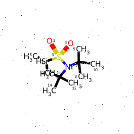 C[SiH](C)S(=O)(=O)N(C(C)(C)C)C(C)(C)C